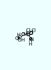 O=[PH](O)OCC1CCCN(c2cc(-c3cn[nH]c3)c3ccc(Cl)c(Cl)c3n2)C1